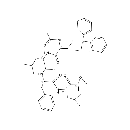 CC(=O)N[C@@H](CO[Si](c1ccccc1)(c1ccccc1)C(C)(C)C)C(=O)N[C@@H](CC(C)C)C(=O)N[C@@H](Cc1ccccc1)C(=O)N[C@@H](CC(C)C)C(=O)[C@@]1(C)CO1